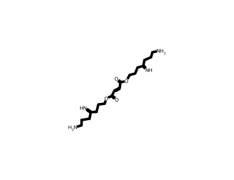 N=C(CCCN)CCCOC(=O)/C=C/C(=O)OCCCC(=N)CCCN